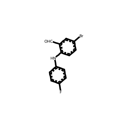 O=Cc1cc(Br)ccc1Nc1ccc(F)cc1